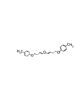 Cc1ccc(OCCC=COC=CCCOc2ccc(C)cc2)cc1